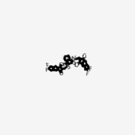 O=C1C(=Cc2nc3c(s2)-c2sc(C=C4C(=O)c5cc6cc(F)c(F)cc6cc5C4=O)nc2C32CCCCC2)C(=O)c2cc3cc(F)c(F)cc3cc21